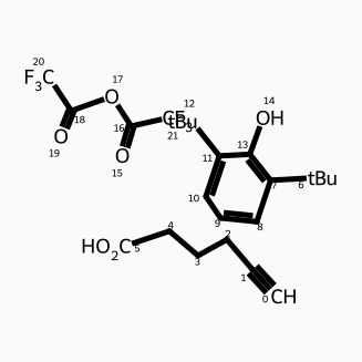 C#CCCCC(=O)O.CC(C)(C)c1cccc(C(C)(C)C)c1O.O=C(OC(=O)C(F)(F)F)C(F)(F)F